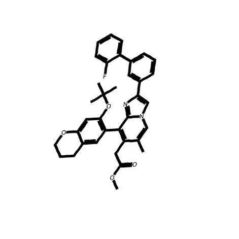 COC(=O)Cc1c(C)cn2cc(-c3cccc(-c4ccccc4F)c3)nc2c1-c1cc2c(cc1OC(C)(C)C)OCCC2